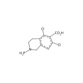 O=C(O)c1c(Cl)cc2c(c1Cl)CCN(P)C2